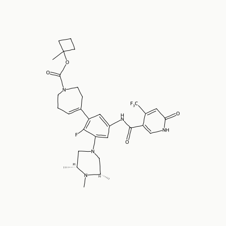 C[C@@H]1CN(c2cc(NC(=O)c3c[nH]c(=O)cc3C(F)(F)F)cc(C3=CCCN(C(=O)OC4(C)CCC4)CC3)c2F)C[C@H](C)N1C